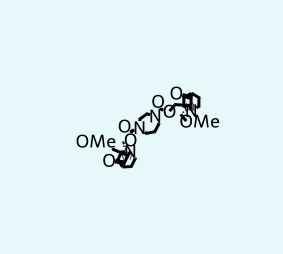 COC[C@]1(COC(=O)N2CCCN(C(=O)OC[C@@]3(COC)C(=O)C4CCN3CC4)CC2)C(=O)C2CCN1CC2